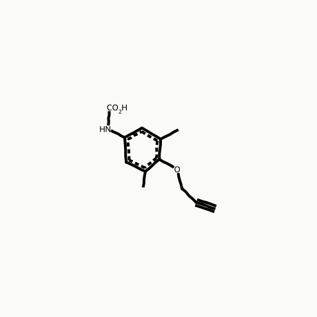 C#CCOc1c(C)cc(NC(=O)O)cc1C